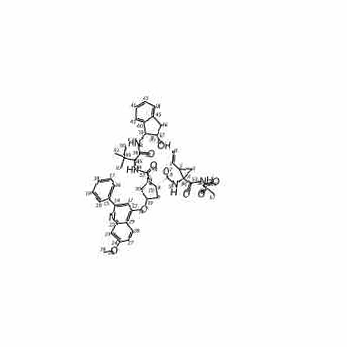 C=CC1C[C@]1(NC(=O)[C@@H]1CC(Oc2cc(-c3ccccc3)nc3cc(OC)ccc23)CN1C(=O)N[C@H](C(=O)NC1c2ccccc2C[C@H]1O)C(C)(C)C)C(=O)NS(C)(=O)=O